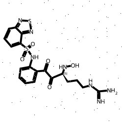 N=C(N)NCCC[C@H](NO)C(=O)C(=O)c1ccccc1NS(=O)(=O)c1cccc2nsnc12